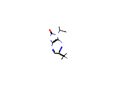 CC(C)n1c(=O)[nH]c2ncc(C(C)(C)C)nc21